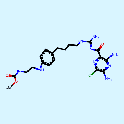 CC(C)(C)OC(=O)NCCNc1ccc(CCCCNC(N)=NC(=O)c2nc(Cl)c(N)nc2N)cc1